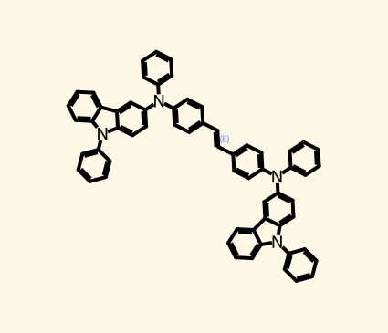 C(=C\c1ccc(N(c2ccccc2)c2ccc3c(c2)c2ccccc2n3-c2ccccc2)cc1)/c1ccc(N(c2ccccc2)c2ccc3c(c2)c2ccccc2n3-c2ccccc2)cc1